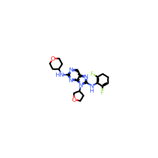 FC1=CCCC(F)=C1Nc1nc2cnc(NC3CCOCC3)nc2n1C1CCOC1